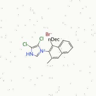 CCCCCCCCCCc1c(-[n+]2c[nH]c(Cl)c2Cl)c(C)cc2ccccc12.[Br-]